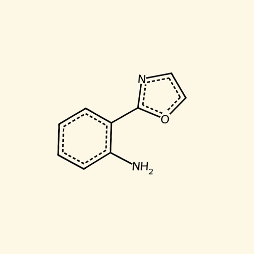 Nc1ccccc1-c1ncco1